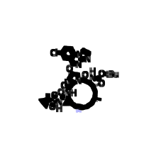 C[C@H]1CC/C=C\C2C[C@@]2(C(=O)NS(=O)(=O)C2(C)CC2)NC(=O)[C@@H]2C[C@@H](Oc3nc4nccn4c4ccc(Cl)cc34)CN2C(=O)[C@@H](NC(=O)OC(C)(C)C)[C@H](C)C1